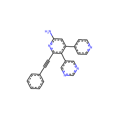 Nc1cc(-c2ccncc2)c(-c2cncnc2)c(C#Cc2ccccc2)n1